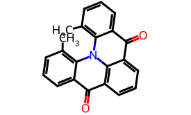 Cc1cccc2c(=O)c3cccc4c(=O)c5cccc(C)c5n(c12)c34